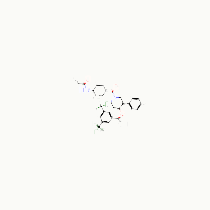 CCC(=O)N[C@H]1CC[C@@H](C(=O)N2CC[C@H](O[C@H](C)c3cc(C(F)(F)F)cc(C(F)(F)F)c3)[C@H](c3ccccc3)C2)CC1